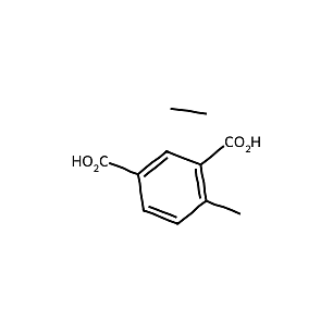 CC.Cc1ccc(C(=O)O)cc1C(=O)O